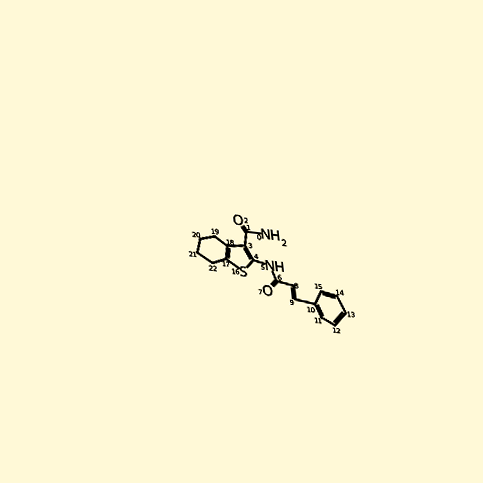 NC(=O)c1c(NC(=O)C=Cc2ccccc2)sc2c1CCCC2